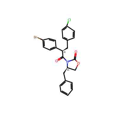 O=C1OC[C@@H](Cc2ccccc2)N1C(=O)[C@H](Cc1ccc(Cl)cc1)c1ccc(Br)cc1